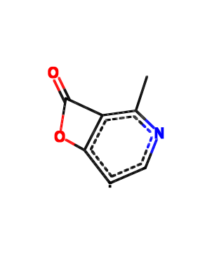 Cc1nc[c]c2c1C(=O)O2